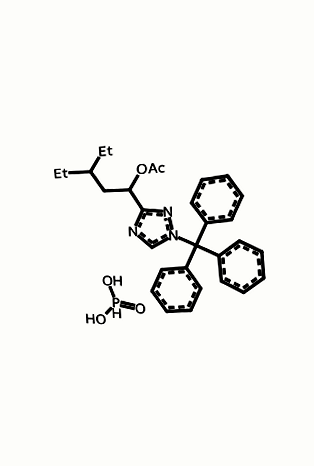 CCC(CC)CC(OC(C)=O)c1ncn(C(c2ccccc2)(c2ccccc2)c2ccccc2)n1.O=[PH](O)O